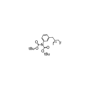 CC(C)(C)OC(=O)N(C(=O)OC(C)(C)C)c1cccc(C[C@H](I)CF)c1